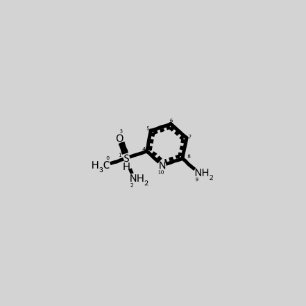 C[SH](N)(=O)c1cccc(N)n1